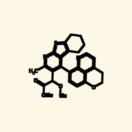 COC(=O)C(OC(C)(C)C)c1c(C)nc2sc3c(c2c1-c1ccc2c4c(ccnc14)CCO2)CCCC3